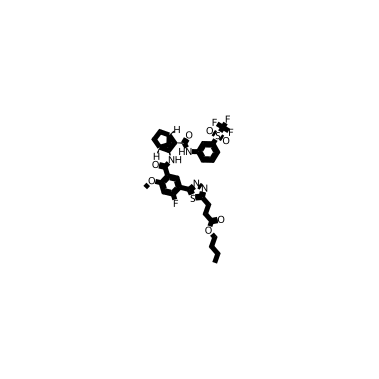 CCCCOC(=O)CCc1nnc(-c2cc(C(=O)N[C@@H]3[C@H]4CC[C@H](C4)[C@@H]3C(=O)Nc3cccc(S(=O)(=O)C(F)(F)F)c3)c(OC)cc2F)s1